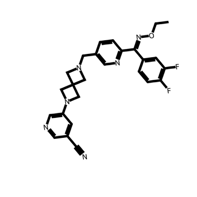 CCON=C(c1ccc(F)c(F)c1)c1ccc(CN2CC3(C2)CN(c2cncc(C#N)c2)C3)cn1